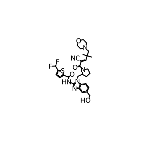 CC(C)(C=C(C#N)C(=O)N1CCCC1Cn1c(NC(=O)c2ccc(C(F)F)s2)nc2cc(CO)ccc21)CN1CCOCC1